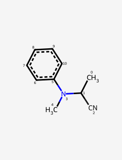 CC(C#N)N(C)c1ccccc1